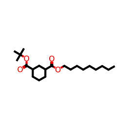 CCCCCCCCCOC(=O)C1CCCC(C(=O)OC(C)(C)C)C1